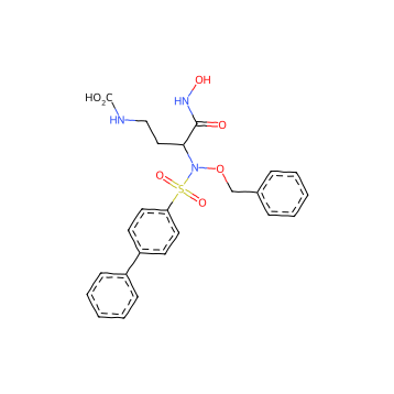 O=C(O)NCCC(C(=O)NO)N(OCc1ccccc1)S(=O)(=O)c1ccc(-c2ccccc2)cc1